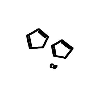 C1=CCC=C1.C1=CCC=C1.[Ca]